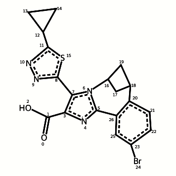 O=C(O)c1nc2n(c1-c1nnc(C3CC3)s1)C1CC(C1)c1ccc(Br)cc1-2